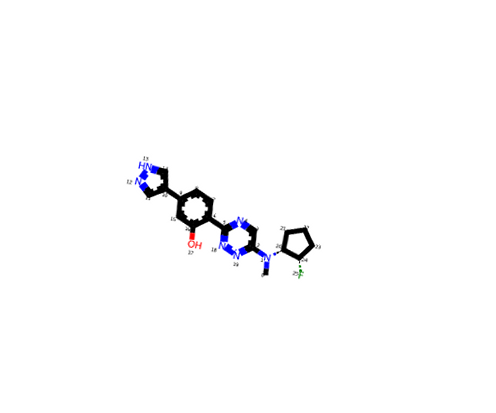 CN(c1cnc(-c2ccc(-c3cn[nH]c3)cc2O)nn1)[C@@H]1CCC[C@@H]1F